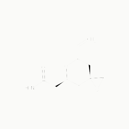 C=C[C@@H]1C[C@]2(CO2)C[C@@H](CC(N)=O)O1